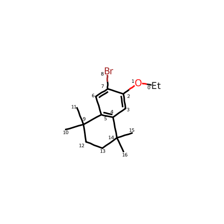 CCOc1cc2c(cc1Br)C(C)(C)CCC2(C)C